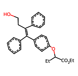 CCOC(=O)C(CC)Oc1ccc(/C(=C(/CCO)c2ccccc2)c2ccccc2)cc1